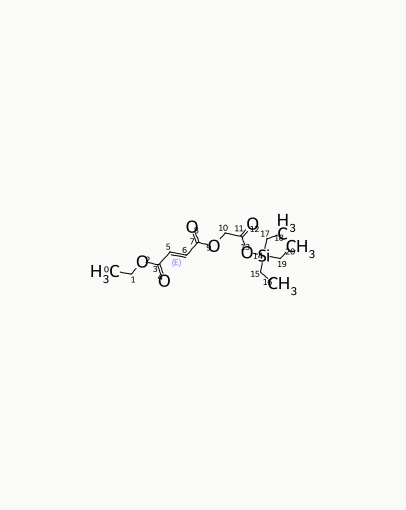 CCOC(=O)/C=C/C(=O)OCC(=O)O[Si](CC)(CC)CC